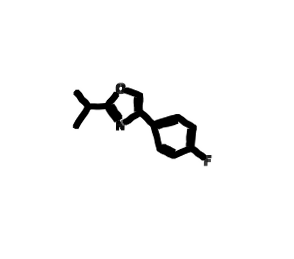 CC(C)c1nc(-c2ccc(F)cc2)co1